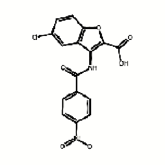 O=C(Nc1c(C(=O)O)oc2ccc(Cl)cc12)c1ccc([N+](=O)[O-])cc1